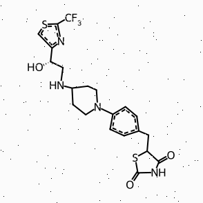 O=C1NC(=O)C(Cc2ccc(N3CCC(NC[C@H](O)c4csc(C(F)(F)F)n4)CC3)cc2)S1